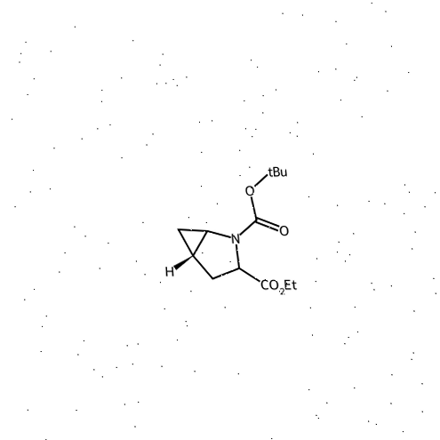 CCOC(=O)C1C[C@@H]2CC2N1C(=O)OC(C)(C)C